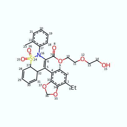 CCc1ccc(C2=C(C(=O)OCCOCCO)N(c3ccccc3C)S(=O)(=O)C3C=CC=CC23)c2c1OCO2